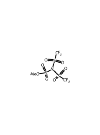 COS(=O)(=O)N(S(=O)(=O)C(F)(F)F)S(=O)(=O)C(F)(F)F